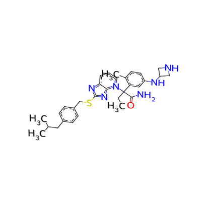 CCC(C(N)=O)(c1cc(NC2CNC2)ccc1C)n1cccc2nc(SCc3ccc(CC(C)C)cc3)nc1-2